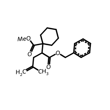 C=C(C)CC(C(=O)OCc1ccccc1)C1(C(=O)OC)CCCCC1